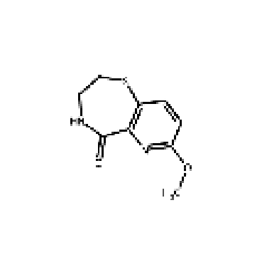 COc1ccc2c(n1)C(=O)NCCS2